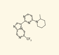 CC1CCCCN1c1ccnc(-c2cnc3cnc(C(F)(F)F)cn23)n1